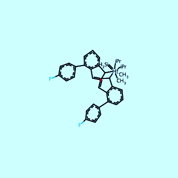 C[CH](C)[Hf]([CH3])([CH3])(=[SiH2])([CH](C)C)([CH]1C=Cc2c(-c3ccc(F)cc3)cccc21)[CH]1C=Cc2c(-c3ccc(F)cc3)cccc21